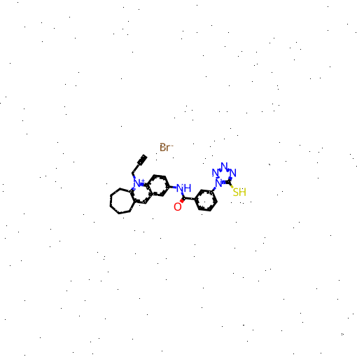 C#CC[n+]1c2c(cc3cc(NC(=O)c4cccc(-n5nnnc5S)c4)ccc31)CCCCC2.[Br-]